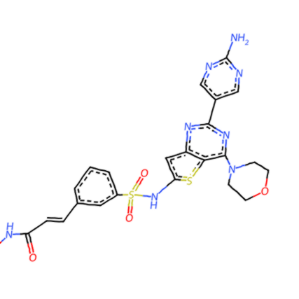 Nc1ncc(-c2nc(N3CCOCC3)c3sc(NS(=O)(=O)c4cccc(C=CC(=O)NO)c4)cc3n2)cn1